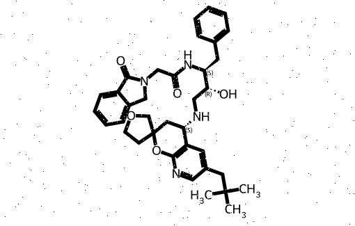 CC(C)(C)Cc1cnc2c(c1)[C@@H](NC[C@@H](O)[C@H](Cc1ccccc1)NC(=O)CN1Cc3ccccc3C1=O)CC1(CCOC1)O2